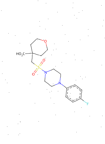 O=C(O)C1(CS(=O)(=O)N2CCN(c3ccc(F)cc3)CC2)CCOCC1